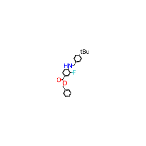 CC(C)(C)c1ccc(CNc2ccc(C(=O)OCc3ccccc3)cc2F)cc1